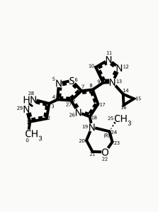 Cc1cc(-c2nsc3c(-c4cnnn4C4CC4)cc(N4CCOC[C@H]4C)nc23)[nH]n1